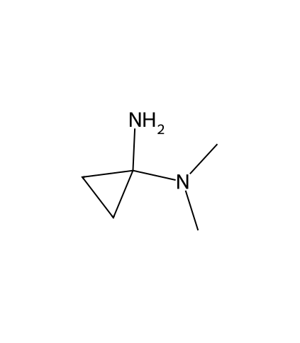 CN(C)C1(N)CC1